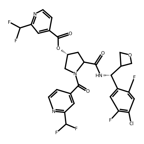 O=C(O[C@@H]1CC(C(=O)N[C@@H](c2cc(F)c(Cl)cc2F)C2COC2)N(C(=O)c2ccnc(C(F)F)c2)C1)c1ccnc(C(F)F)c1